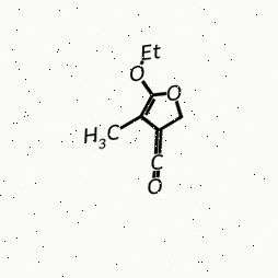 CCOC1=C(C)C(=C=O)CO1